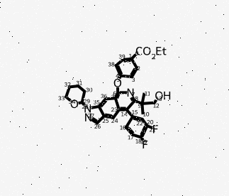 CCOC(=O)c1ccc(Oc2nc(C(C)(C)CO)c(-c3ccc(F)c(F)c3)c3cc4cnn(C5CCCCO5)c4cc23)cc1